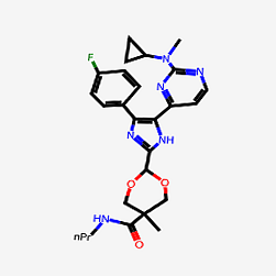 CCCNC(=O)C1(C)COC(c2nc(-c3ccc(F)cc3)c(-c3ccnc(N(C)C4CC4)n3)[nH]2)OC1